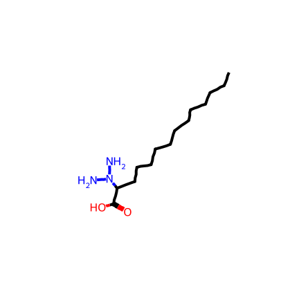 CCCCCCCCCCCCC(C(=O)O)N(N)N